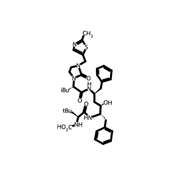 CCC(C)[C@@H](C(=O)N[C@@H](Cc1ccccc1)C[C@H](O)[C@H](Cc1ccccc1)NC(=O)[C@@H](NC(=O)O)C(C)(C)C)N1CCN(Cc2cnc(C)s2)C1=O